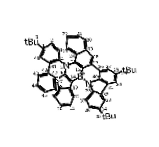 CC(C)(C)c1ccc(N2c3sc4ccccc4c3B3c4c(cc5ccccc5c42)-c2cc(C(C)(C)C)cc4c5cc(C(C)(C)C)ccc5n3c24)c(-c2ccccc2)c1